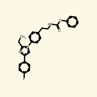 CCc1nc(-c2ccc(F)cc2)cn1-c1ccc(CCNC(=O)Oc2ccccc2)cc1